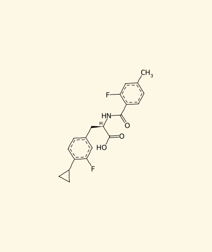 Cc1ccc(C(=O)N[C@H](Cc2ccc(C3CC3)c(F)c2)C(=O)O)c(F)c1